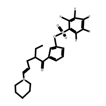 CCC(CC=CN1CCCCC1)C(=O)c1cccc(OS(=O)(=O)c2c(F)c(F)c(F)c(F)c2F)c1